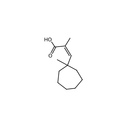 CC(=CC1(C)CCCCCC1)C(=O)O